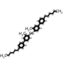 CCCCCCc1ccc(-c2ccc(SSc3ccc(-c4ccc(CCCCCC)cc4)cc3C)c(C)c2)cc1